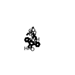 CCOP(=O)(CO[C@]1(CO)C[C@H]2O[C@]1(C)n1c3ccccc3c3c4c(c5c6ccccc6n2c5c31)C(=O)NC4)OCC